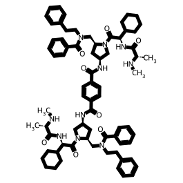 CN[C@@H](C)C(=O)N[C@H](C(=O)N1C[C@@H](NC(=O)c2ccc(C(=O)N[C@H]3C[C@@H](CN(CCc4ccccc4)C(=O)c4ccccc4)N(C(=O)[C@@H](NC(=O)[C@H](C)NC)C4CCCCC4)C3)cc2)C[C@H]1CN(CCc1ccccc1)C(=O)c1ccccc1)C1CCCCC1